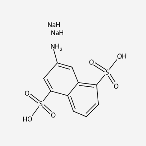 Nc1cc(S(=O)(=O)O)c2cccc(S(=O)(=O)O)c2c1.[NaH].[NaH]